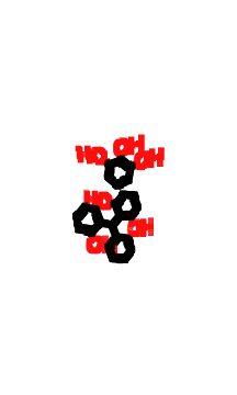 Oc1cccc(O)c1O.Oc1ccccc1C(c1ccccc1O)c1ccccc1O